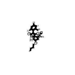 CCCCOC1CCC2(C1)NC(=O)C(c1c(C)cc(C)cc1C)=C2OS(C)(=O)=O